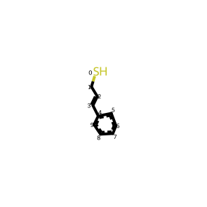 SCC=Cc1ccccc1